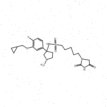 CN1CCC(NS(=O)(=O)CCCCCN2CC(=O)NC2=O)(c2ccc(F)c(OCC3CC3)c2)C1